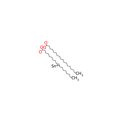 CCCCCCCCCCCCCCCCCC(=O)[O-].CCCCCCCCCCCCCCCCCC(=O)[O-].[Sn+4]